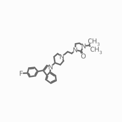 CC(C)N1CCN(CCN2CCC(n3cc(-c4ccc(F)cc4)c4ccccc43)CC2)C1=O